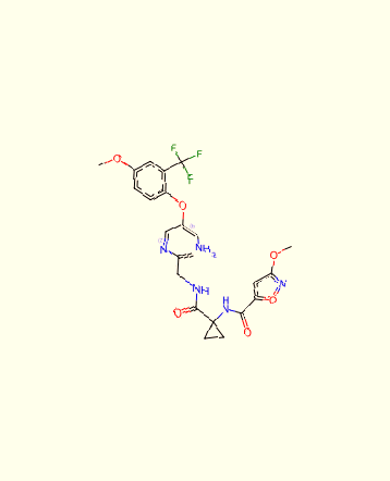 C=C(CNC(=O)C1(NC(=O)c2cc(OC)no2)CC1)/N=C\C(=C/N)Oc1ccc(OC)cc1C(F)(F)F